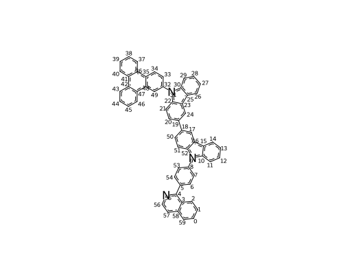 c1ccc2c(-c3ccc(-n4c5ccccc5c5cc(-c6ccc7c(c6)c6ccccc6n7-c6ccc7c8ccccc8c8ccccc8c7c6)ccc54)cc3)nccc2c1